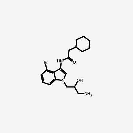 NCC(O)Cn1cc(NC(=O)CC2CCCCC2)c2c(Br)cccc21